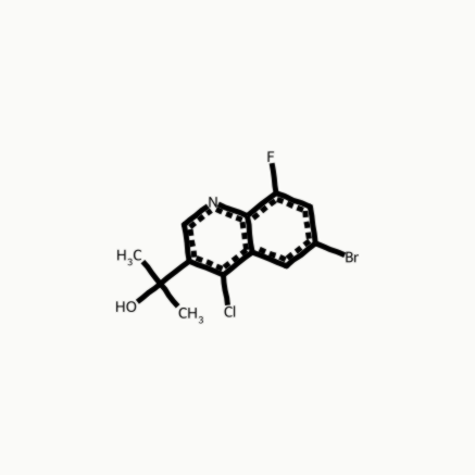 CC(C)(O)c1cnc2c(F)cc(Br)cc2c1Cl